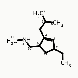 CCC1C=C(CC(C)C)C(CNC)C1